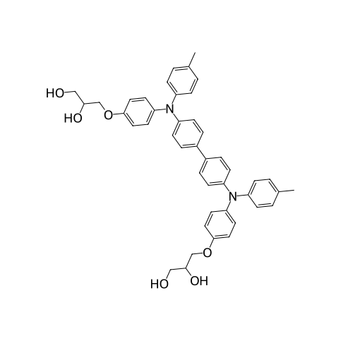 Cc1ccc(N(c2ccc(OCC(O)CO)cc2)c2ccc(-c3ccc(N(c4ccc(C)cc4)c4ccc(OCC(O)CO)cc4)cc3)cc2)cc1